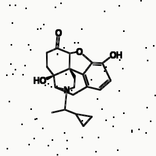 CC(C1CC1)N1CC[C@]23c4c5ccc(O)c4OC2C(=O)CC[C@@]3(O)C1C5